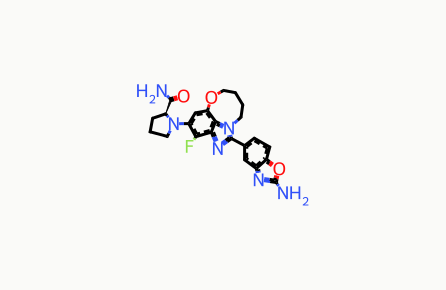 NC(=O)[C@@H]1CCCN1c1cc2c3c(nc(-c4ccc5oc(N)nc5c4)n3CCCCO2)c1F